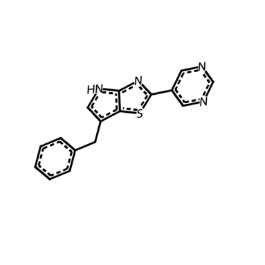 c1ccc(Cc2c[nH]c3nc(-c4cncnc4)sc23)cc1